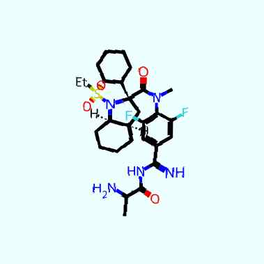 CCS(=O)(=O)N1[C@@H]2CCCC[C@@H]2C[C@]1(C(=O)N(C)c1c(F)cc(C(=N)NC(=O)C(C)N)cc1F)C1CCCCC1